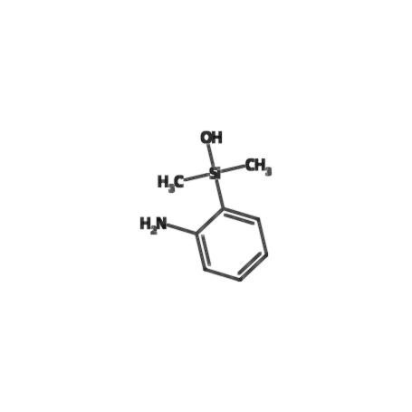 C[Si](C)(O)c1ccccc1N